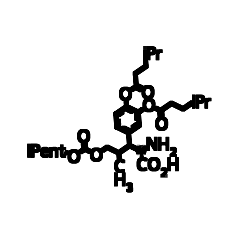 CCCC(C)OC(=O)OCC(C)C(c1ccc(OC(=O)CCC(C)C)c(OC(=O)CCC(C)C)c1)[C@H](N)C(=O)O